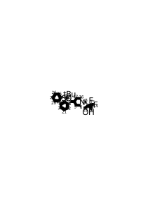 CC(C)(C)[Si](OCC1CCN(C[C@@]2(CO)CC2(F)F)CC1)(c1ccccc1)c1ccccc1